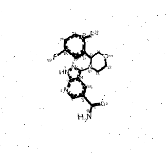 NC(=O)c1cnc2[nH]nc(N3CCOCC3c3cc(F)ccc3F)c2c1